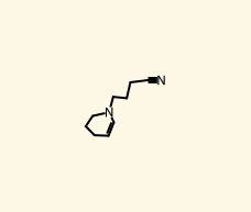 N#CCCCN1C=CCCC1